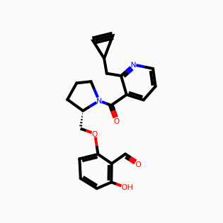 O=Cc1c(O)cccc1OC[C@@H]1CCCN1C(=O)c1cccnc1CC1C#C1